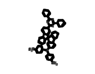 Cc1ccc(N(c2ccc(C)cc2)c2ccc3c(c2)C2(C4=C3CCC=C4)c3ccccc3-c3ccc(-c4nc(-c5ccccc5)nc(-c5ccccc5)n4)cc32)cc1